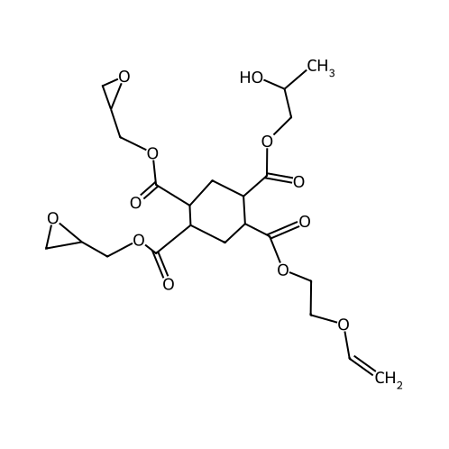 C=COCCOC(=O)C1CC(C(=O)OCC2CO2)C(C(=O)OCC2CO2)CC1C(=O)OCC(C)O